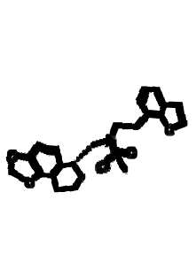 CS(=O)(=O)N(CCc1cccc2ccoc12)C[C@@H]1CCCc2c1ccc1c2OCO1